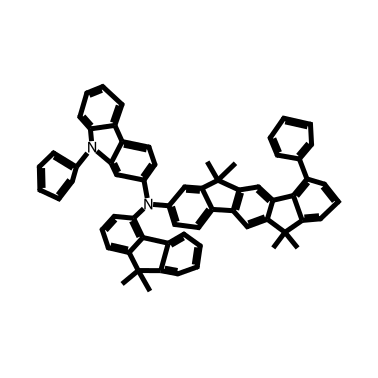 CC1(C)c2cc(N(c3ccc4c5ccccc5n(-c5ccccc5)c4c3)c3cccc4c3-c3ccccc3C4(C)C)ccc2-c2cc3c(cc21)-c1c(-c2ccccc2)cccc1C3(C)C